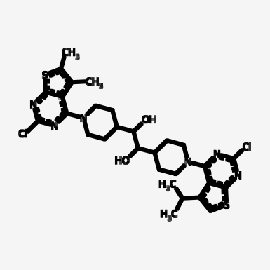 Cc1sc2nc(Cl)nc(N3CCC(C(O)C(O)C4CCN(c5nc(Cl)nc6scc(C(C)C)c56)CC4)CC3)c2c1C